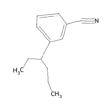 CCCC(CC)c1cccc(C#N)c1